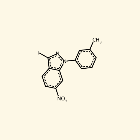 Cc1cccc(-n2nc(I)c3ccc([N+](=O)[O-])cc32)c1